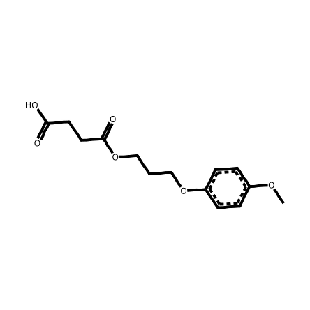 COc1ccc(OCCCOC(=O)CCC(=O)O)cc1